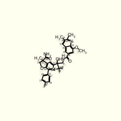 COc1cc(C(=O)NCC(O)(c2cc3c(c(-c4ccc(F)cc4)n2)OC[C@]3(C)C(N)=O)C(F)(F)F)cc2cc(C)c(C)nc12